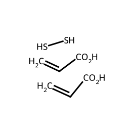 C=CC(=O)O.C=CC(=O)O.SS